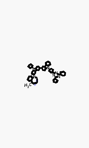 C=C1/C=C\C=C/CN(c2ccc3c(c2)c2cc(-c4ccc5c(c4)c4ccccc4n5-c4ccc(-c5nc(-c6ccccc6)nc(-c6ccccc6)n5)cc4)ccc2n3-c2ccccc2)c2ccccc21